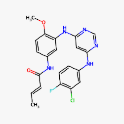 C/C=C/C(=O)Nc1ccc(OC)c(Nc2cc(Nc3ccc(F)c(Cl)c3)ncn2)c1